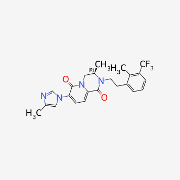 Cc1cn(-c2ccc3n(c2=O)C[C@@H](C)N(CCc2cccc(C(F)(F)F)c2C)C3=O)cn1